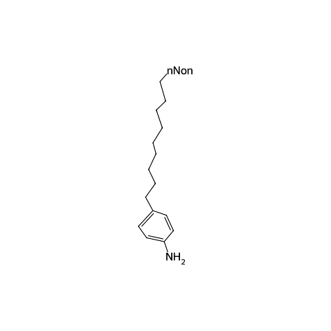 [CH2]CCCCCCCCCCCCCCCCCc1ccc(N)cc1